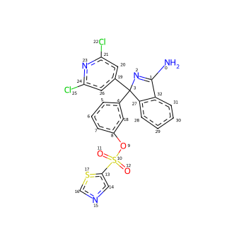 NC1=NC(c2cccc(OS(=O)(=O)c3cncs3)c2)(c2cc(Cl)nc(Cl)c2)c2ccccc21